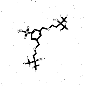 O=S(=O)(O)c1cc(COCCC(O)(C(F)(F)F)C(F)(F)F)cc(COCCC(O)(C(F)(F)F)C(F)(F)F)c1